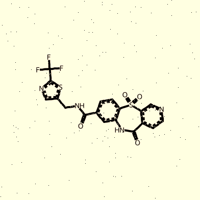 O=C(NCc1cnc(C(F)(F)F)s1)c1ccc2c(c1)NC(=O)c1ccncc1S2(=O)=O